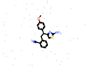 COc1ccc(C(Cc2ccccc2C#N)c2csc(N)n2)cc1